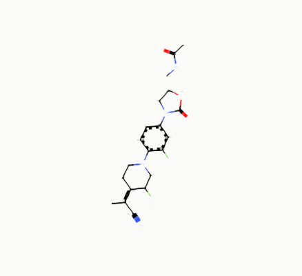 CC(=O)NC[C@H]1CN(c2ccc(N3CC/C(=C(\C)C#N)C(F)C3)c(F)c2)C(=O)O1